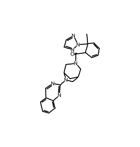 CC1(n2nccn2)C=CC=CC1C(=O)N1CC2CC(C1)N(c1ncc3ccccc3n1)C2